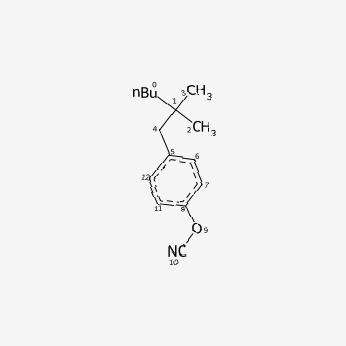 CCCCC(C)(C)Cc1ccc(OC#N)cc1